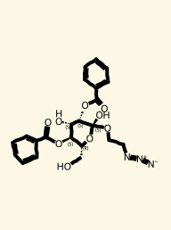 [N-]=[N+]=NCCO[C@]1(O)O[C@H](CO)[C@@H](OC(=O)c2ccccc2)[C@H](O)[C@@H]1OC(=O)c1ccccc1